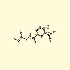 COC(=O)CNC(=O)c1ccc(Cl)c([N+](=O)[O-])c1